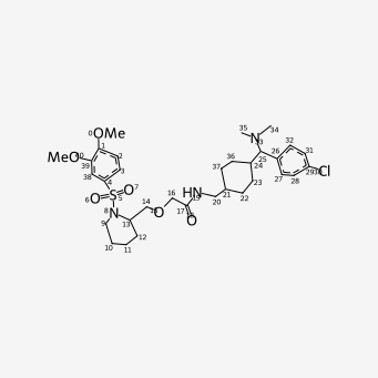 COc1ccc(S(=O)(=O)N2CCCCC2COCC(=O)NCC2CCC(C(c3ccc(Cl)cc3)N(C)C)CC2)cc1OC